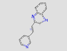 [c]1nc2ccccc2nc1/C=C/c1cccnc1